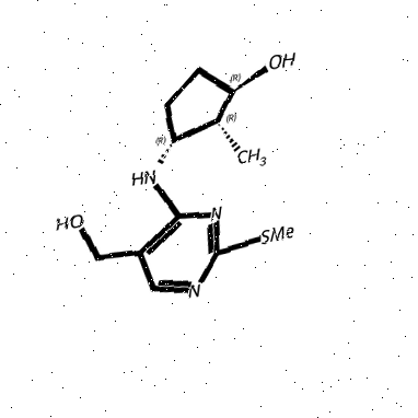 CSc1ncc(CO)c(N[C@@H]2CC[C@@H](O)[C@@H]2C)n1